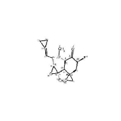 CO[C@@H]1C(=O)[C@@H](F)C[C@]2(CO2)[C@H]1[C@@]1(C)O[C@@H]1CC=C1CC1